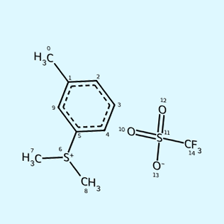 Cc1cccc([S+](C)C)c1.O=S(=O)([O-])C(F)(F)F